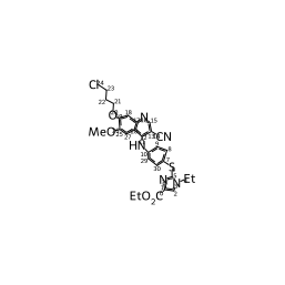 CCOC(=O)c1cn(CC)c(Sc2ccc(Nc3c(C#N)cnc4cc(OCCCCl)c(OC)cc34)cc2)n1